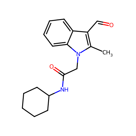 Cc1c(C=O)c2ccccc2n1CC(=O)NC1CCCCC1